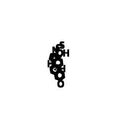 CC12CC[C@@H]3[C@@H](CCC4=CC(=O)CC[C@@]43C)[C@H]1CCC2(O)N=C=S